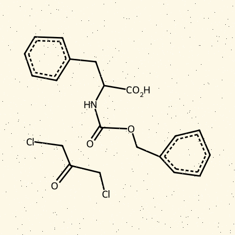 O=C(CCl)CCl.O=C(NC(Cc1ccccc1)C(=O)O)OCc1ccccc1